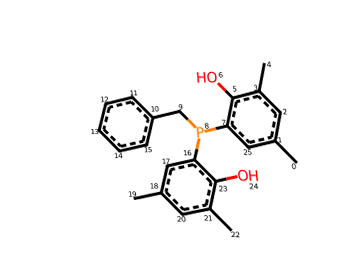 Cc1cc(C)c(O)c(P(Cc2ccccc2)c2cc(C)cc(C)c2O)c1